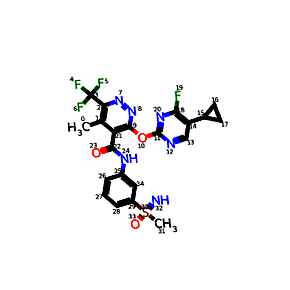 Cc1c(C(F)(F)F)nnc(Oc2ncc(C3CC3)c(F)n2)c1C(=O)Nc1cccc(S(C)(=N)=O)c1